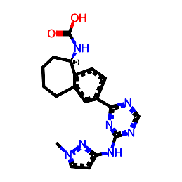 Cn1ccc(Nc2ncnc(-c3ccc4c(c3)CCCC[C@H]4NC(=O)O)n2)n1